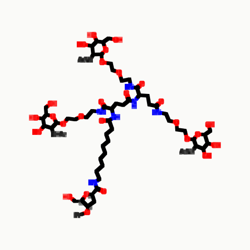 CC(=O)NC1C(OCCOCCNC(=O)CCC(NC(=O)CCC(NC(=O)CCCCCCCCCNC(=O)[C@H]2C[C@@H](OC(C)C)[C@H](CO)O2)C(=O)NCCOCCOC2OC(CO)C(O)C(O)C2NC(C)=O)C(=O)NCCOCCOC2OC(CO)C(O)C(O)C2NC(C)=O)OC(CO)C(O)C1O